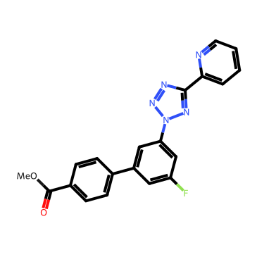 COC(=O)c1ccc(-c2cc(F)cc(-n3nnc(-c4ccccn4)n3)c2)cc1